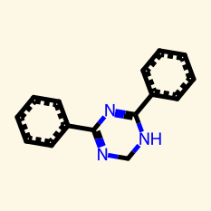 c1ccc(C2=NCNC(c3ccccc3)=N2)cc1